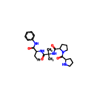 CC(C)CC(NC(=O)C(C)(C)NC(=O)C1CCCN1C(=O)C1CCCN1)C(=O)Nc1ccccc1